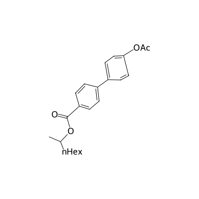 CCCCCCC(C)OC(=O)c1ccc(-c2ccc(OC(C)=O)cc2)cc1